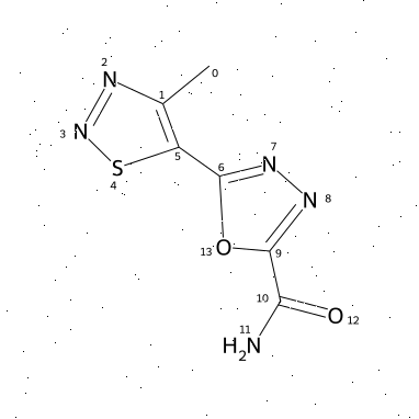 Cc1nnsc1-c1nnc(C(N)=O)o1